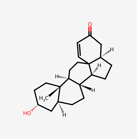 C[C@]12CC[C@@H](O)C[C@@H]1CC[C@H]1[C@@H]3CC[C@@H]4CC(=O)C=CC43CC[C@@H]12